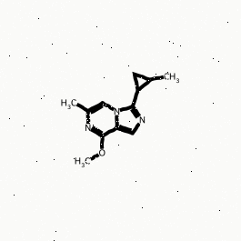 COc1nc(C)cn2c(C3CC3C)ncc12